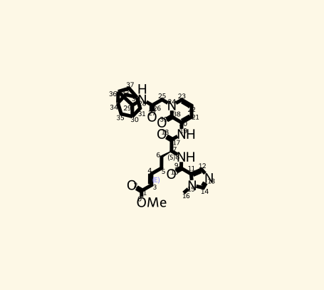 COC(=O)/C=C/CC[C@H](NC(=O)c1cncn1C)C(=O)Nc1cccn(CC(=O)NC2C3CC4CC(C3)C2C4)c1=O